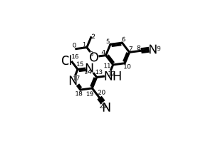 CC(C)Oc1ccc(C#N)cc1Nc1nc(Cl)ncc1C#N